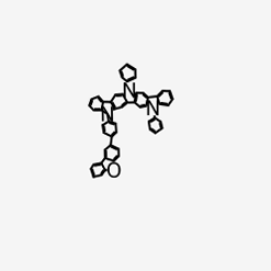 c1ccc(-n2c3ccccc3c3cc4c(cc32)c2cc3c(cc2n4-c2ccccc2)c2ccccc2n3-c2ccc(-c3ccc4oc5ccccc5c4c3)cc2)cc1